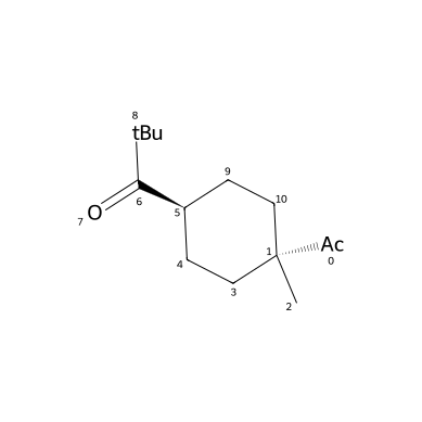 CC(=O)[C@]1(C)CC[C@@H](C(=O)C(C)(C)C)CC1